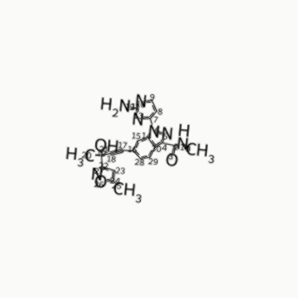 CNC(=O)c1nn(-c2ccnc(N)n2)c2cc(C#C[C@@](C)(O)c3cc(C)on3)ccc12